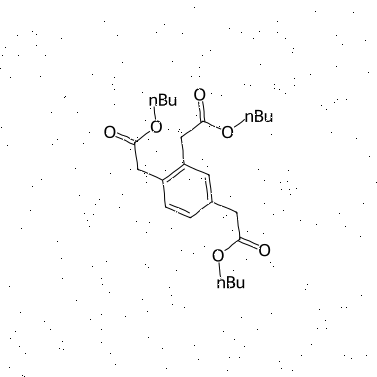 CCCCOC(=O)Cc1ccc(CC(=O)OCCCC)c(CC(=O)OCCCC)c1